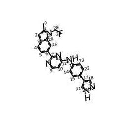 Cc1cc2ccc(-c3nccc(Nc4ccc(-c5cn[nH]c5)cc4)n3)cc2n1CF